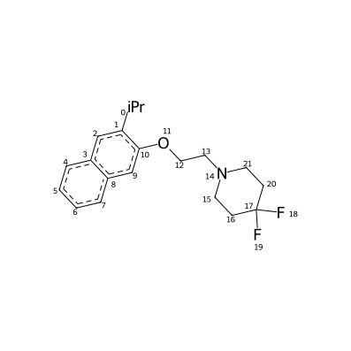 CC(C)c1cc2ccccc2cc1OCCN1CCC(F)(F)CC1